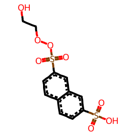 O=S(=O)(O)c1ccc2ccc(S(=O)(=O)OOCCO)cc2c1